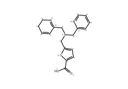 O=C(O)c1ccc(CN(CC2=NCCC=C2)Cc2ccccn2)s1